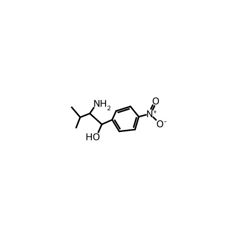 CC(C)C(N)C(O)c1ccc([N+](=O)[O-])cc1